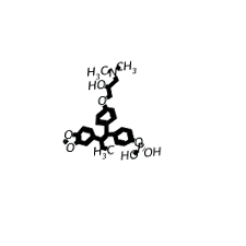 CC/C(=C(/c1ccc(OCC(O)CN(C)C)cc1)c1ccc(OP(O)O)cc1)c1ccc2c(c1)OCO2